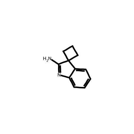 NC1=Nc2ccccc2C12CCC2